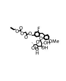 C=CCOC(=O)OCC(=O)OCc1cc(F)c(Cc2ccc(OC)cc2)c(O[C@@H]2O[C@H]([C@@H](C)O)[C@@H](O)[C@H](O)[C@H]2O)c1